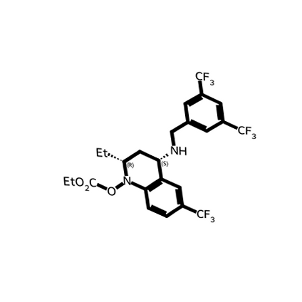 CCOC(=O)ON1c2ccc(C(F)(F)F)cc2[C@@H](NCc2cc(C(F)(F)F)cc(C(F)(F)F)c2)C[C@H]1CC